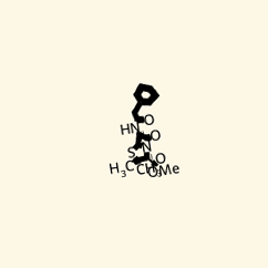 COC(=O)[C@@H]1N2C(=O)[C@@H](NC(=O)Cc3ccccc3)C2SC1(C)C